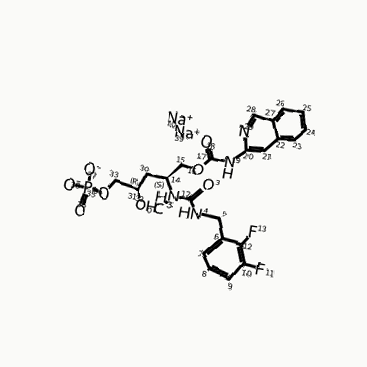 CN(C(=O)NCc1cccc(F)c1F)[C@H](COC(=O)Nc1cc2ccccc2cn1)C[C@@H](O)COP(=O)([O-])[O-].[Na+].[Na+]